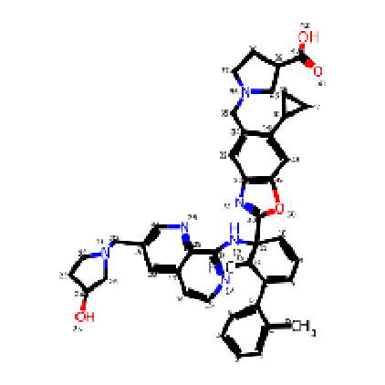 Cc1ccccc1C1=CC=CC(Nc2nccc3cc(CN4CCC(O)C4)cnc23)(c2nc3cc(CN4CCC(C(=O)O)C4)c(C4CC4)cc3o2)C1C